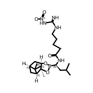 CC(C)C[C@H](NC(=O)[CH]CCCNC(=N)N[N+](=O)[O-])B1O[C@@H]2C[C@@H]3C[C@@H](C3(C)C)[C@]2(C)O1